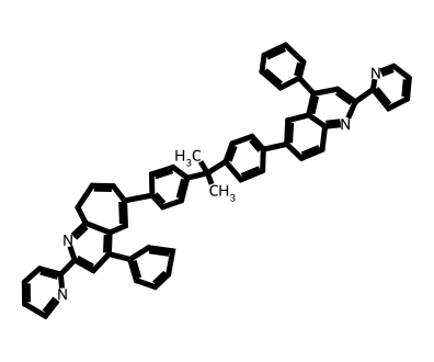 CC(C)(c1ccc(C2=Cc3c(-c4ccccc4)cc(-c4ccccn4)nc3CC=C2)cc1)c1ccc(-c2ccc3nc(-c4ccccn4)cc(-c4ccccc4)c3c2)cc1